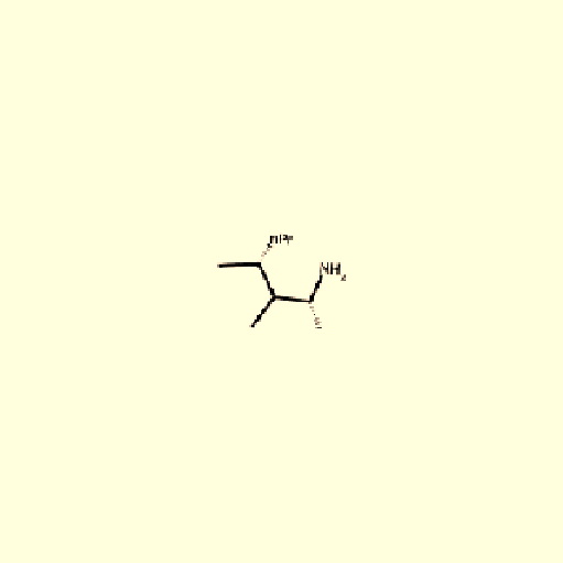 CCC[C@@H](C)C(C)[C@@H](C)N